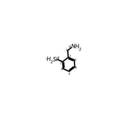 NCc1ccccc1[SiH2]